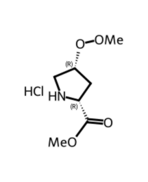 COO[C@H]1CN[C@@H](C(=O)OC)C1.Cl